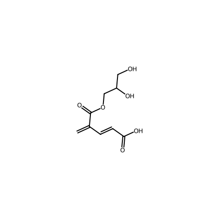 C=C(C=CC(=O)O)C(=O)OCC(O)CO